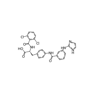 O=C(Nc1ccc(C[C@H](NC(=O)c2c(Cl)cccc2Cl)C(=O)O)cc1)c1cccc(Nc2ncc[nH]2)c1